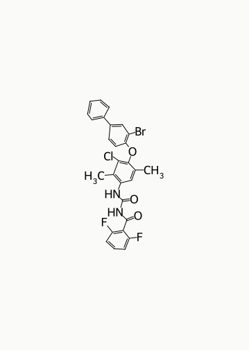 Cc1cc(NC(=O)NC(=O)c2c(F)cccc2F)c(C)c(Cl)c1Oc1ccc(-c2ccccc2)cc1Br